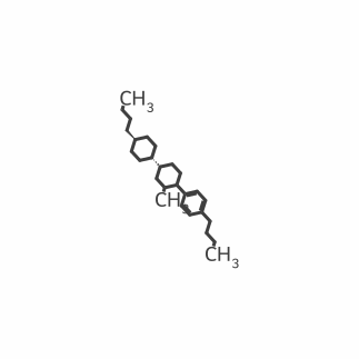 CCCCc1ccc(C2CCC([C@H]3CC[C@H](CCCC)CC3)CC2C)cc1